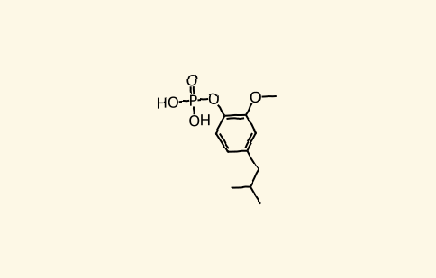 COc1cc(CC(C)C)ccc1OP(=O)(O)O